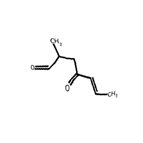 CC=CC(=O)CC(C)C=O